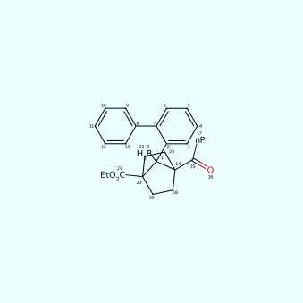 BC1(c2ccccc2-c2ccccc2)C2(C(=O)CCC)CCC1(C(=O)OCC)CC2